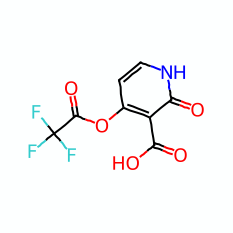 O=C(O)c1c(OC(=O)C(F)(F)F)cc[nH]c1=O